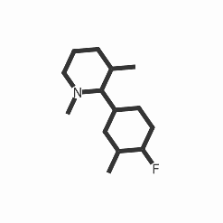 CC1CC(C2C(C)CCCN2C)CCC1F